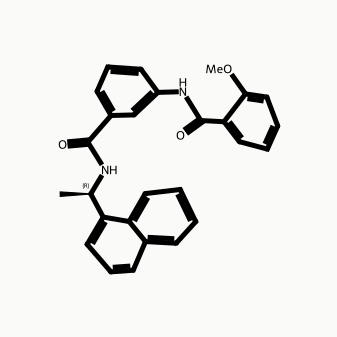 COc1ccccc1C(=O)Nc1cccc(C(=O)N[C@H](C)c2cccc3ccccc23)c1